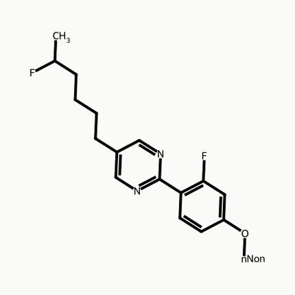 CCCCCCCCCOc1ccc(-c2ncc(CCCCC(C)F)cn2)c(F)c1